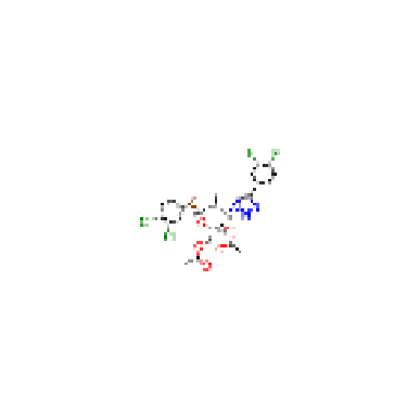 CC(=O)OCC1O[C@H](Sc2ccc(Cl)c(Cl)c2)C(C)[C@@H](n2cc(-c3ccc(F)c(F)c3)nn2)[C@H]1OC(C)=O